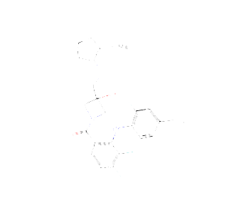 CO[C@H]1CCCC1NCC1(O)CN(C(=O)c2ccc(F)c(F)c2Nc2ccc(C)cc2F)C1